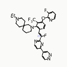 CCN1CCC2(CCCN(c3c(/C=C(\F)c4nccc(-c5ccnnc5)n4)ccc(Oc4ncccc4F)c3C(F)(F)F)C2)CC1